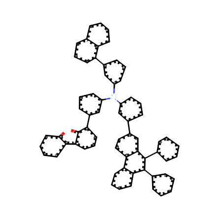 c1ccc(-c2c(-c3ccccc3)c3cc(-c4cccc(N(c5cccc(-c6cccc7ccccc67)c5)c5cccc(-c6cccc7c6oc6ccccc67)c5)c4)ccc3c3ccccc23)cc1